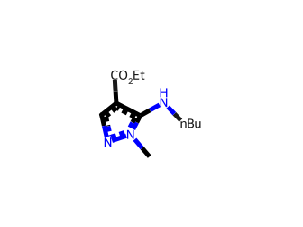 CCCCNc1c(C(=O)OCC)cnn1C